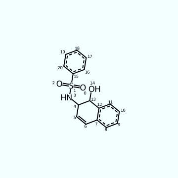 O=S(=O)(NC1C=Cc2ccccc2C1O)c1ccccc1